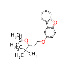 C[SiH](C)OC(CCOc1ccc2oc3ccccc3c2c1)C(C)(C)C